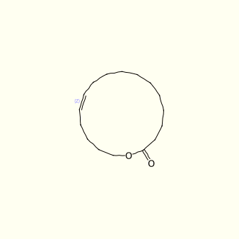 O=C1CCCCCCCCC/C=C\CCCCO1